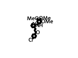 COc1cc(Nc2ncccc2/C=C/C(=O)c2ccc(Cl)cc2)cc(OC)c1OC